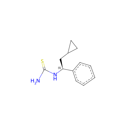 NC(=S)N[C@@H](CC1CC1)c1ccccc1